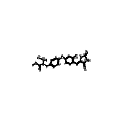 COC(=O)[C@H](Cc1ccc(Oc2ccc(/C=C3\SC(=O)NC3=O)c(F)c2)cc1)NCl